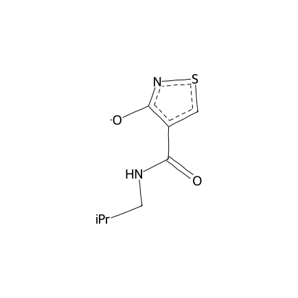 CC(C)CNC(=O)c1csnc1[O]